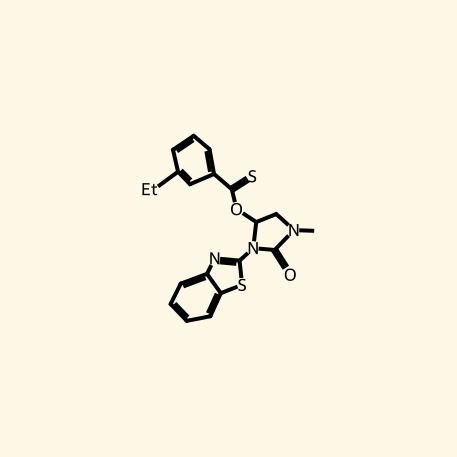 CCc1cccc(C(=S)OC2CN(C)C(=O)N2c2nc3ccccc3s2)c1